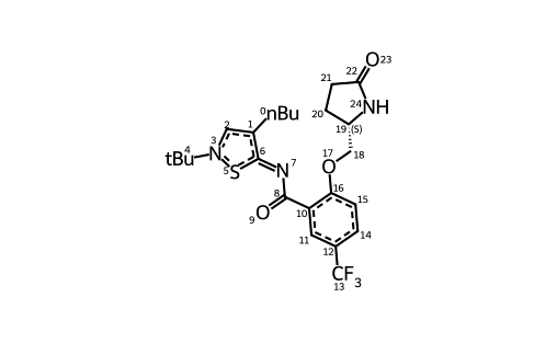 CCCCc1cn(C(C)(C)C)sc1=NC(=O)c1cc(C(F)(F)F)ccc1OC[C@@H]1CCC(=O)N1